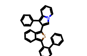 c1ccc(-c2ccccc2-c2sc(-c3cn4ccccc4c3-c3ccccc3)c3ccccc23)cc1